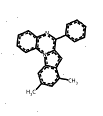 Cc1cc(C)c2cc3c(-c4ccccc4)nc4ccccc4n3c2c1